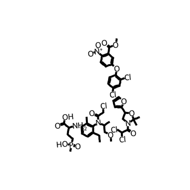 CC1(C)OC(c2ccco2)CN1C(=O)C(Cl)Cl.CCc1cccc(C)c1N(C(=O)CCl)C(C)COC.COC(=O)c1cc(Oc2ccc(Cl)cc2Cl)ccc1[N+](=O)[O-].CP(=O)(O)CCC(N)C(=O)O